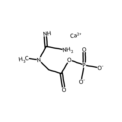 CN(CC(=O)OP(=O)([O-])[O-])C(=N)N.[Ca+2]